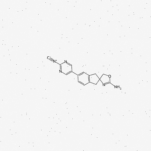 [C-]#[N+]c1ncc(-c2ccc3c(c2)CC2(COC(N)=N2)C3)cn1